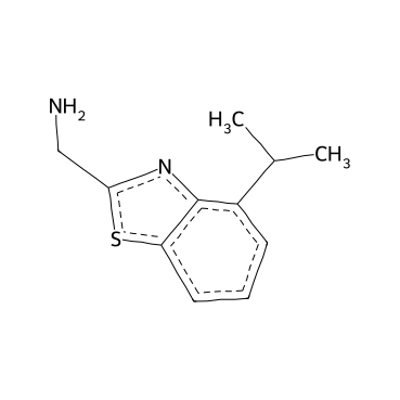 CC(C)c1cccc2sc(CN)nc12